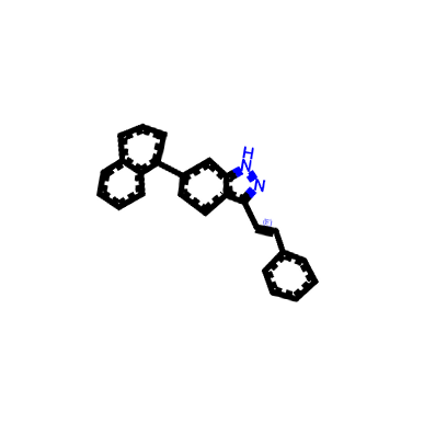 C(=C\c1n[nH]c2cc(-c3cccc4ccccc34)ccc12)/c1ccccc1